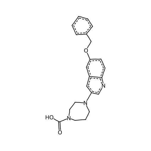 O=C(O)N1CCCN(c2cnc3ccc(OCc4ccccc4)cc3c2)CC1